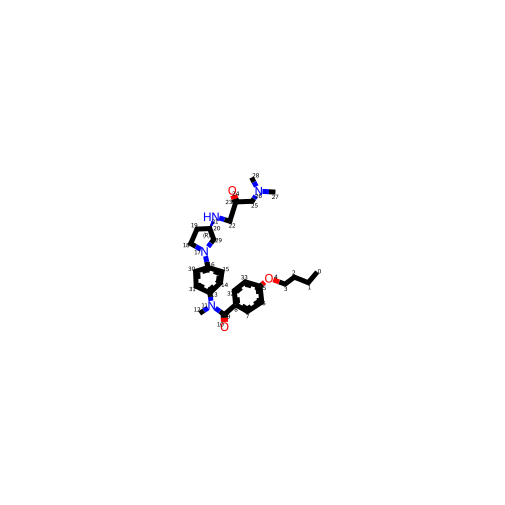 CCCCOc1ccc(C(=O)N(C)c2ccc(N3CC[C@@H](NCC(=O)CN(C)C)C3)cc2)cc1